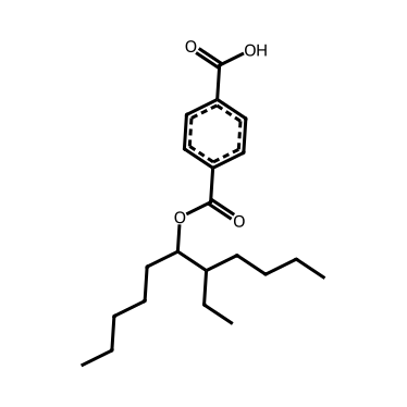 CCCCCC(OC(=O)c1ccc(C(=O)O)cc1)C(CC)CCCC